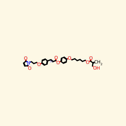 C=C(CO)C(=O)OCCCCCCOc1ccc(OC(=O)/C=C/c2ccc(OCCCN3C(=O)C=CC3=O)cc2)cc1